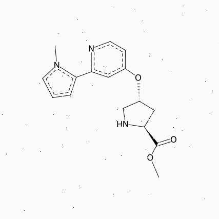 COC(=O)[C@@H]1C[C@@H](Oc2ccnc(-c3cccn3C)c2)CN1